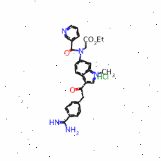 CCOC(=O)CN(C(=O)c1cccnc1)c1ccc2c(C(=O)Cc3ccc(C(=N)N)cc3)cn(C)c2c1.Cl